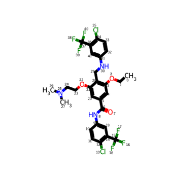 CCOc1cc(C(=O)Nc2ccc(Cl)c(C(F)(F)F)c2)cc(OCCN(C)C)c1CNc1ccc(Cl)c(C(F)(F)F)c1